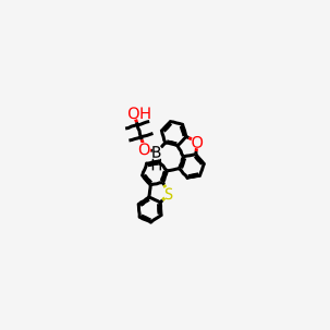 CC(C)(O)C(C)(C)OBc1cccc2oc3cccc(-c4cccc5c4sc4ccccc45)c3c12